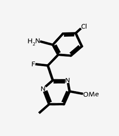 COc1cc(C)nc(C(F)c2ccc(Cl)cc2N)n1